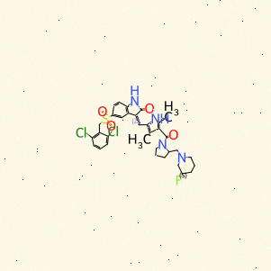 Cc1[nH]c(/C=C2\C(=O)Nc3ccc(S(=O)(=O)Cc4c(Cl)cccc4Cl)cc32)c(C)c1C(=O)N1CCCC1CN1CCC[C@H](F)C1